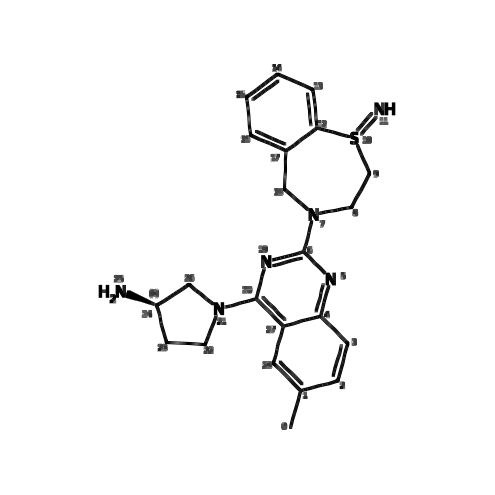 Cc1ccc2nc(N3CCS(=N)c4ccccc4C3)nc(N3CC[C@@H](N)C3)c2c1